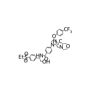 CCS(=O)(=O)c1ccc([C@H](CO)NC(=O)c2ccc(N3C[C@H](Oc4ccc(C(F)(F)F)cc4)C[C@H]3CN3CCOC[C@H]3C)cc2)cc1